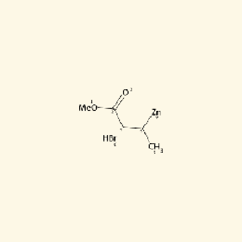 Br.COC(=O)C[CH](C)[Zn]